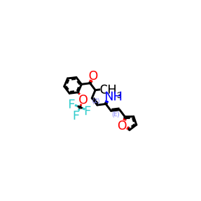 CC(/C=C\C(=N)/C=C/c1ccco1)C(=O)c1ccccc1OC(F)(F)F